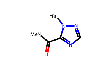 CNC(=O)c1ncnn1C(C)(C)C